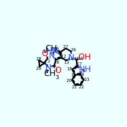 COCC1(N(C)C(=O)c2n[nH]c3c2CN(C(O)c2cc4ccccc4[nH]2)CC3)CC1